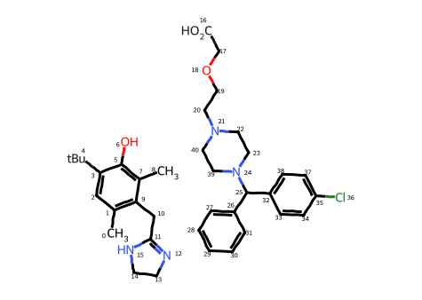 Cc1cc(C(C)(C)C)c(O)c(C)c1CC1=NCCN1.O=C(O)COCCN1CCN(C(c2ccccc2)c2ccc(Cl)cc2)CC1